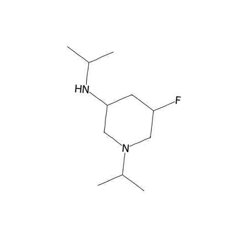 CC(C)NC1CC(F)CN(C(C)C)C1